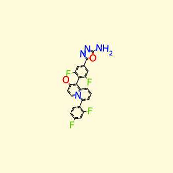 Nc1nnc(-c2cc(F)c(-c3c(=O)ccn4c(-c5ccc(F)cc5F)cccc34)c(F)c2)o1